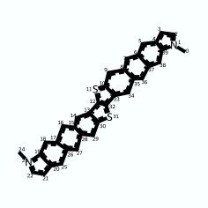 Cn1ccc2cc3cc4cc5sc6c7cc8cc9cc%10c(ccn%10C)cc9cc8cc7sc6c5cc4cc3cc21